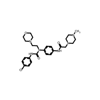 CN1CCN(CC(=O)Nc2ccc(N(CCN3CCOCC3)C(=O)Nc3ccc(Cl)cc3)cc2)CC1